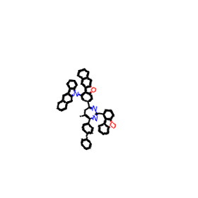 CC1=C(c2ccc(-c3ccccc3)cc2)N=C(c2cccc3oc4ccccc4c23)N=C(c2cc(-n3c4ccccc4c4cc5ccccc5cc43)c3c(c2)oc2cc4ccccc4cc23)C1